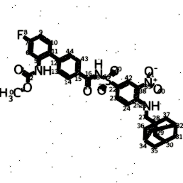 COC(=O)Nc1cc(F)ccc1-c1ccc(C(=O)NS(=O)(=O)c2ccc(NCC34CC5CC(CC(C5)C3)C4)c([N+](=O)[O-])c2)cc1